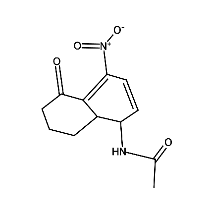 CC(=O)NC1C=CC([N+](=O)[O-])=C2C(=O)CCCC21